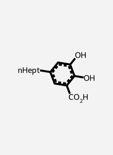 CCCCCCCc1cc(O)c(O)c(C(=O)O)c1